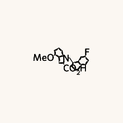 COc1cccc2c1cc(C(=O)O)n2Cc1cccc2ccc(F)cc12